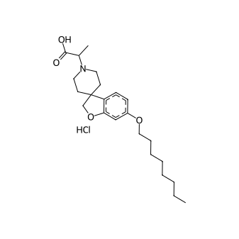 CCCCCCCCOc1ccc2c(c1)OCC21CCN(C(C)C(=O)O)CC1.Cl